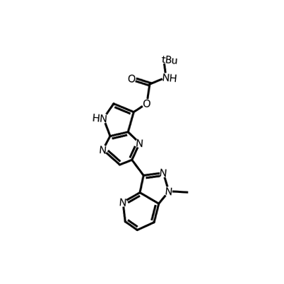 Cn1nc(-c2cnc3[nH]cc(OC(=O)NC(C)(C)C)c3n2)c2ncccc21